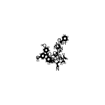 COc1ccc(C(OC[C@H]2O[C@@H](n3cnc4c(NC(=O)c5ccccc5)ncnc43)C(OP(OCCC#N)N(C(C)C)C(C)C)C2O[Si](C)(C)C(C)(C)C)(c2ccccc2)c2ccc(OC)cc2)cc1